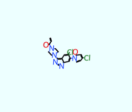 C=CC(=O)N1CCN(c2ncnc3cc(-n4ccc(Cl)cc4=O)c(Cl)cc23)CC1